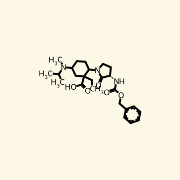 CCC1(C(=O)O)CC(N(C)C(C)C)CCC1N1CC[C@H](NC(=O)OCc2ccccc2)C1=O